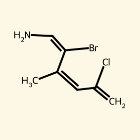 C=C(Cl)/C=C(C)\C(Br)=C/N